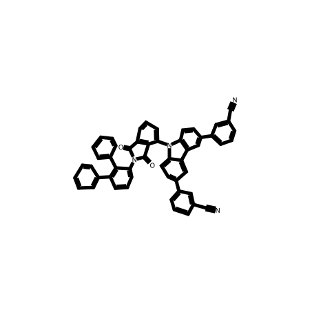 N#Cc1cccc(-c2ccc3c(c2)c2cc(-c4cccc(C#N)c4)ccc2n3-c2cccc3c2C(=O)N(c2cccc(-c4ccccc4)c2-c2ccccc2)C3=O)c1